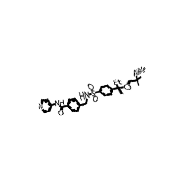 CCC(C)(OCC(C)(C)NC)c1ccc(S(=O)(=O)NCc2ccc(C(=O)Nc3ccncc3)cc2)cc1